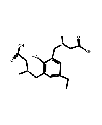 CCc1cc(CN(C)CC(=O)O)c(O)c(CN(C)CC(=O)O)c1